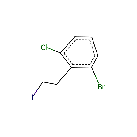 Clc1cccc(Br)c1CCI